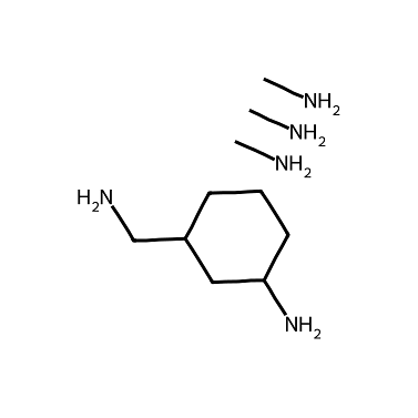 CN.CN.CN.NCC1CCCC(N)C1